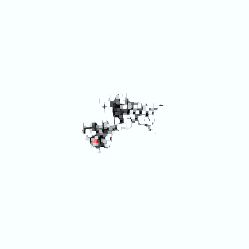 C=CCNC(=O)C(=O)C(CCCC)NC(=O)[C@@H]1[C@@H]2[C@H](CN1C(=O)C(C)NC(=O)NC1(CS(=O)(=O)C(C)(C)C)CCCCC1)C2(Cl)Cl